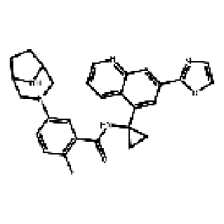 Cc1ccc(N2CC3CCC(C2)N3)cc1C(=O)NC1(c2cc(-c3ncco3)cc3ncccc23)CC1